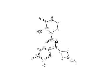 C[C@@H]1C(=O)NCCN1C(=O)N[C@H](c1ccc(F)c(Cl)c1)[C@H]1C[C@@H](C(F)(F)F)C1